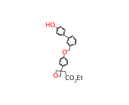 CCOC(=O)CC1(c2ccc(OCc3cccc(-c4ccc(O)cc4)c3)cc2)COC1